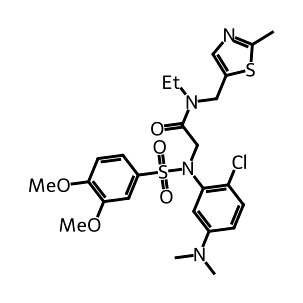 CCN(Cc1cnc(C)s1)C(=O)CN(c1cc(N(C)C)ccc1Cl)S(=O)(=O)c1ccc(OC)c(OC)c1